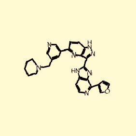 c1cc2[nH]c(-c3n[nH]c4ccc(-c5cncc(CN6CCCCC6)c5)nc34)nc2c(-c2ccoc2)n1